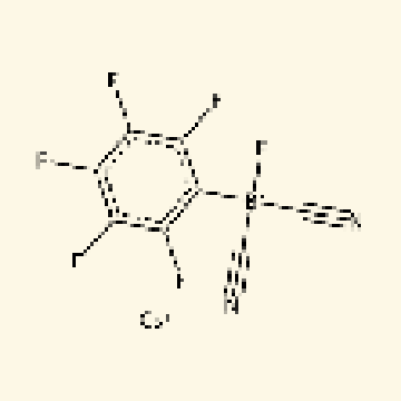 N#C[B-](F)(C#N)c1c(F)c(F)c(F)c(F)c1F.[Cs+]